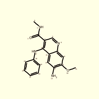 CNC(=O)c1cnc2cc(OC)c(N)cc2c1Nc1ccccc1